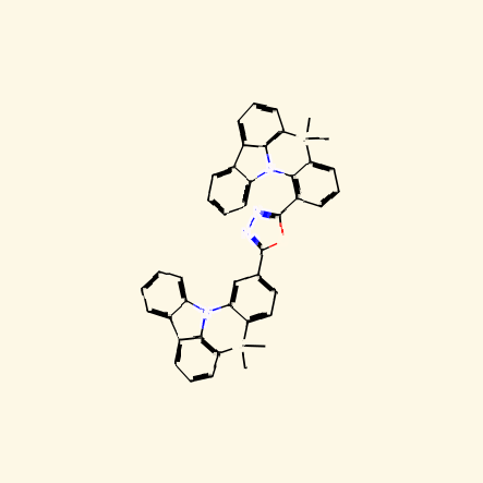 C[Si]1(C)c2ccc(-c3nnc(-c4cccc5c4-n4c6ccccc6c6cccc(c64)[Si]5(C)C)o3)cc2-n2c3ccccc3c3cccc1c32